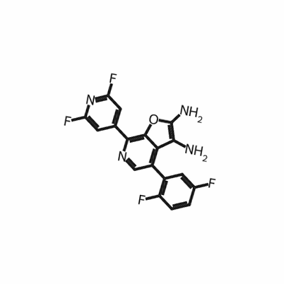 Nc1oc2c(-c3cc(F)nc(F)c3)ncc(-c3cc(F)ccc3F)c2c1N